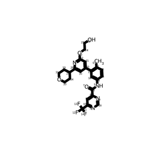 Cc1ccc(NC(=O)c2cc(C(F)(F)F)ncn2)cc1-c1cc(OCCO)nc(C2CCOCC2)c1